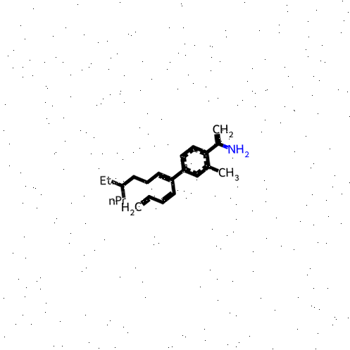 C=C/C=C\C(=C/CCC(CC)CCC)c1ccc(C(=C)N)c(C)c1